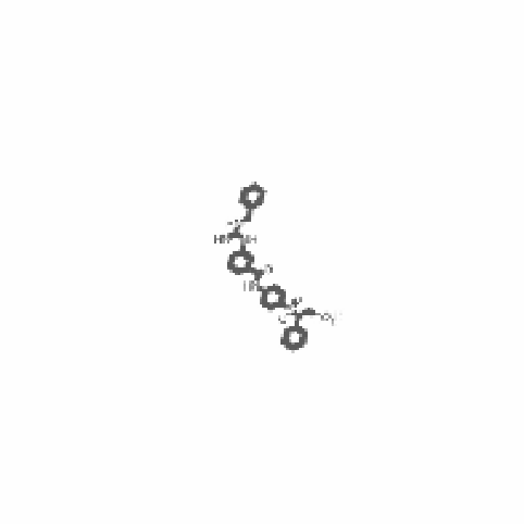 N=C(NCc1ccccc1)Nc1cccc(C(=O)Nc2ccc(S(=O)(=O)C(CC(=O)O)c3ccccc3)cc2)c1